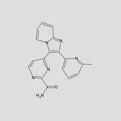 Cc1cccc(-c2nc3ccccn3c2-c2ccnc(C(N)=O)n2)n1